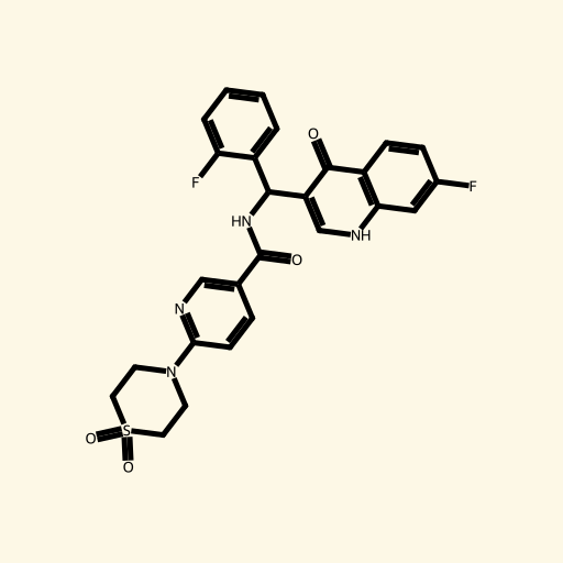 O=C(NC(c1ccccc1F)c1c[nH]c2cc(F)ccc2c1=O)c1ccc(N2CCS(=O)(=O)CC2)nc1